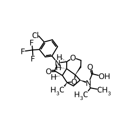 CC(C)N(C(=O)O)[C@H]1C[C@@]2(C)O[C@@]13CCO[C@H]1[C@@H]3[C@@H]2C(=O)N1c1ccc(Cl)c(C(F)(F)F)c1